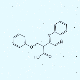 O=C(O)C(COc1ccccc1)c1cnc2ccccc2n1